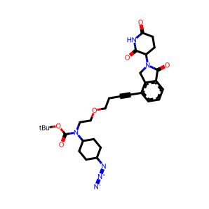 CC(C)(C)OC(=O)N(CCOCCC#Cc1cccc2c1CN(C1CCC(=O)NC1=O)C2=O)C1CCC(N=[N+]=[N-])CC1